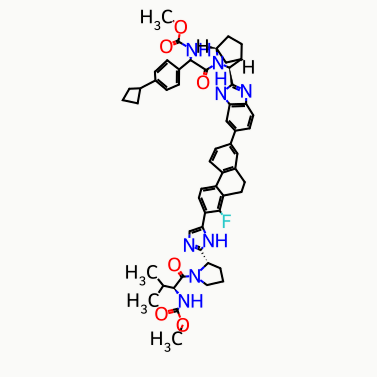 COC(=O)N[C@H](C(=O)N1CCC[C@H]1c1ncc(-c2ccc3c(c2F)CCc2cc(-c4ccc5nc([C@@H]6[C@H]7CC[C@H](C7)N6C(=O)[C@H](NC(=O)OC)c6ccc(C7CCC7)cc6)[nH]c5c4)ccc2-3)[nH]1)C(C)C